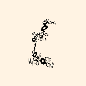 Cc1ncsc1-c1ccc(CNC(=O)[C@@H]2C[C@@H](O)CN2C(=O)C(NC(=O)c2cccc(OCCCCOc3ccc(N4C(=S)N(c5ccc(C#N)c(C(F)(F)F)c5)C(=O)C4(C)C)cc3)c2)C(C)(C)C)cc1